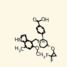 COc1cc(C)c2[nH]ccc2c1CN1CC[C@@H](OC2CC2(F)F)C[C@@H]1c1ccc(C(=O)O)cc1